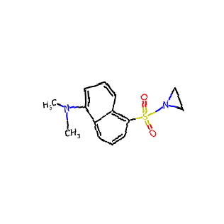 CN(C)c1cccc2c(S(=O)(=O)N3CC3)cccc12